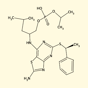 CC(C)CC(COP(=O)(O)OC(C)C)Nc1nc(S[C@@H](C)c2ccccc2)nc2nc(N)sc12